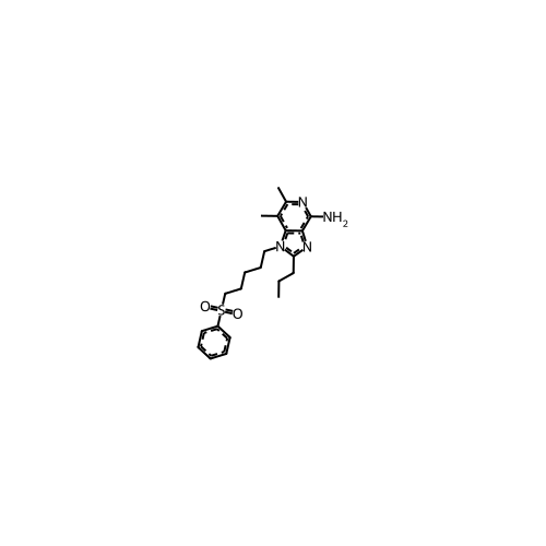 CCCc1nc2c(N)nc(C)c(C)c2n1CCCCCS(=O)(=O)c1ccccc1